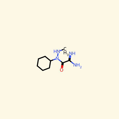 CNN(C(=O)C(=N)N)C1CCCCC1